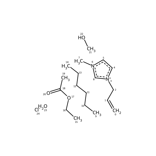 C=CC[n+]1ccn(C)c1.CCCCCC.CCOC(C)=O.CO.O.[Cl-]